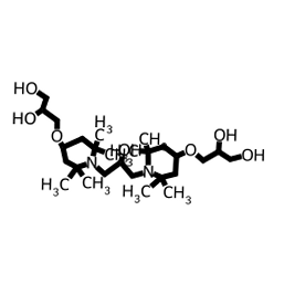 CC1(C)CC(OCC(O)CO)CC(C)(C)N1CC(O)CN1C(C)(C)CC(OCC(O)CO)CC1(C)C